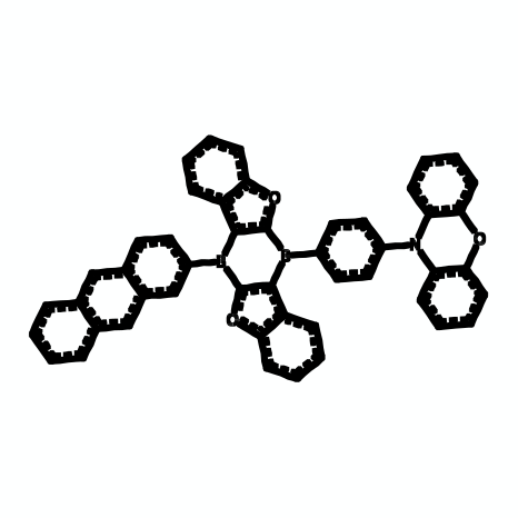 c1ccc2c(c1)Oc1ccccc1N2c1ccc(B2c3oc4ccccc4c3B(c3ccc4cc5ccccc5cc4c3)c3oc4ccccc4c32)cc1